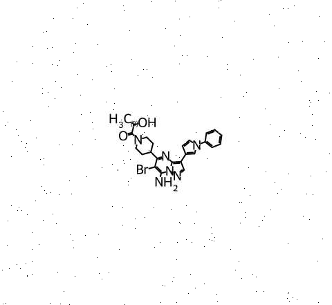 C[C@@H](O)C(=O)N1CCC(c2nc3c(-c4ccn(-c5ccccc5)c4)cnn3c(N)c2Br)CC1